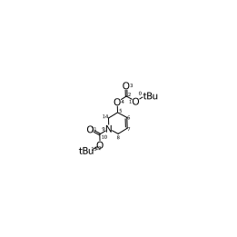 CC(C)(C)OC(=O)OC1C=CCN(C(=O)OC(C)(C)C)C1